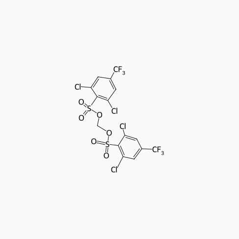 O=S(=O)(OCOS(=O)(=O)c1c(Cl)cc(C(F)(F)F)cc1Cl)c1c(Cl)cc(C(F)(F)F)cc1Cl